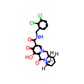 O=C(NCc1cccc(Cl)c1Cl)c1cn2c(c(O)c1=O)C(=O)N1[C@H]3CC[C@H](CC3)[C@@H]1C2